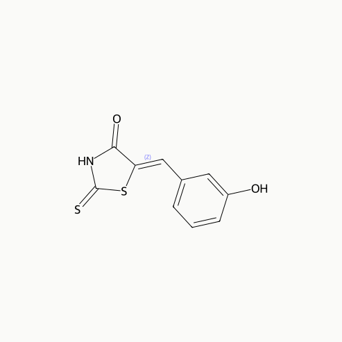 O=C1NC(=S)S/C1=C\c1cccc(O)c1